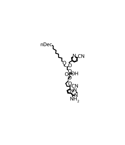 CCCCCCCCCCCCCCCCCCOC[C@H](COP(=O)(O)OC[C@@H]1CC[C@](C#N)(c2ccc3c(N)ncnn23)O1)OCc1ccc(C#N)nc1